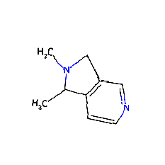 CC1c2ccncc2CN1C